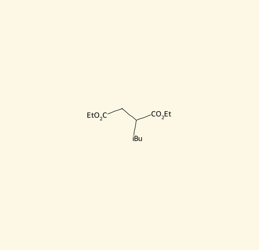 CCOC(=O)CC(C(=O)OCC)C(C)CC